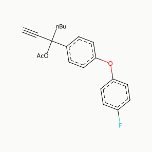 C#CC(CCCC)(OC(C)=O)c1ccc(Oc2ccc(F)cc2)cc1